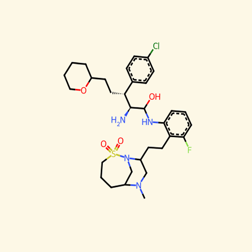 CN1CC(CCc2c(F)cccc2NC(O)[C@@H](N)[C@H](CCC2CCCCO2)c2ccc(Cl)cc2)N2CC1CCCS2(=O)=O